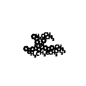 Cc1cc2c3c4c1c1cc5oc6ccccc6c5cc1n4-c1cc4c(cc1B3N(c1ccc(C(C)(C)C)cc1)c1cc3c(cc1-2)C(C)(C)c1cc(C(C)(C)C)ccc1-3)sc1ccccc14